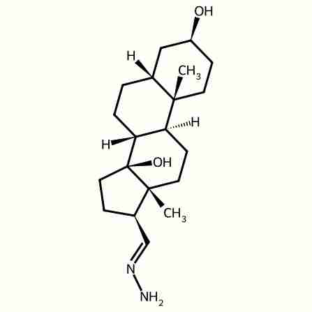 C[C@]12CC[C@H](O)C[C@H]1CC[C@@H]1[C@@H]2CC[C@]2(C)[C@@H](C=NN)CC[C@]12O